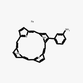 Nc1cccc(-c2cc3cc4nc(cc5ccc(cc6nc(cc2[nH]3)C=C6)[nH]5)C=C4)c1.[Fe]